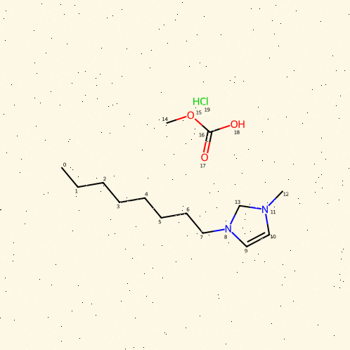 CCCCCCCCN1C=CN(C)C1.COC(=O)O.Cl